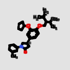 C=C(C)C(COc1ccc([C@H]2CC(=O)N(C3=CCCC(C)=C3)C2)cc1OC1CCCC1)C(C)OC